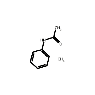 C.CC(=O)Nc1ccccc1